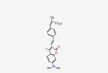 CCCN(CCC)c1ccc2c(C)c(/C=C/c3ccc(C=C(C#N)C(=O)O)cc3)c(=O)oc2c1